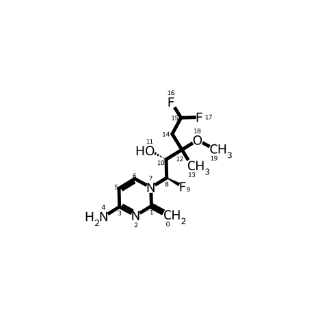 C=C1N=C(N)C=CN1[C@H](F)[C@H](O)C(C)(CC(F)F)OC